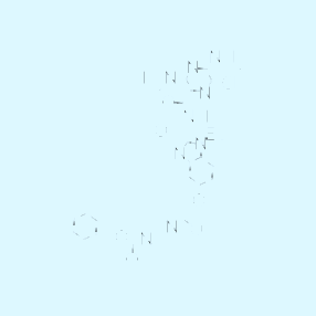 CC[n+]1c(CNC(=O)c2nc(Cl)c(N)nc2N)n(C[C@@H]2CCCO2)c2cc(OCC(=O)N3CCN(C(=O)OCc4ccccc4)CC3)ccc21